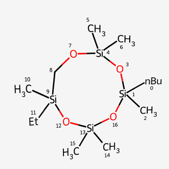 CCCC[Si]1(C)O[Si](C)(C)OC[Si](C)(CC)O[Si](C)(C)O1